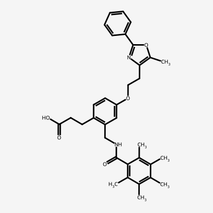 Cc1oc(-c2ccccc2)nc1CCOc1ccc(CCC(=O)O)c(CNC(=O)c2c(C)c(C)c(C)c(C)c2C)c1